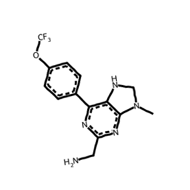 CN1CNc2c(-c3ccc(OC(F)(F)F)cc3)nc(CN)nc21